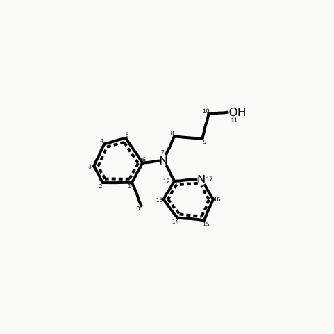 Cc1ccccc1N(CCCO)c1ccccn1